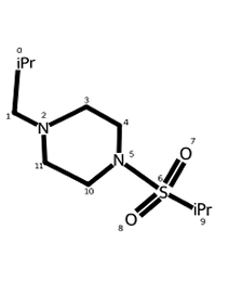 CC(C)CN1CCN(S(=O)(=O)C(C)C)CC1